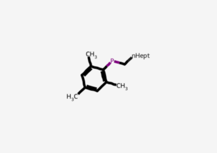 CCCCCCCC[P]c1c(C)cc(C)cc1C